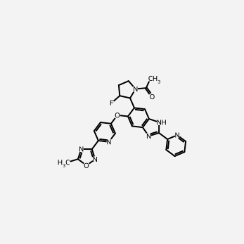 CC(=O)N1CCC(F)C1c1cc2[nH]c(-c3ccccn3)nc2cc1Oc1ccc(-c2noc(C)n2)nc1